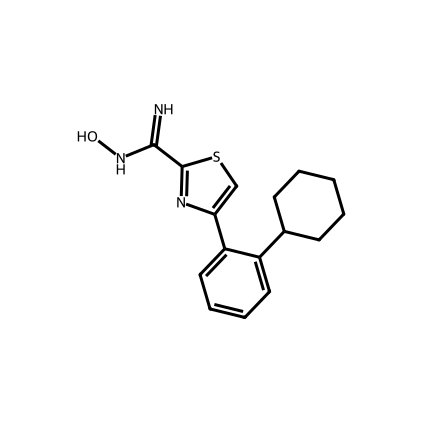 N=C(NO)c1nc(-c2ccccc2C2CCCCC2)cs1